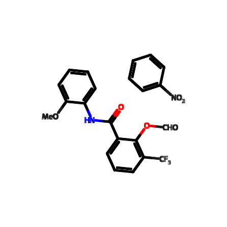 COc1ccccc1NC(=O)c1cccc(C(F)(F)F)c1OC=O.O=[N+]([O-])c1ccccc1